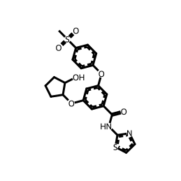 CS(=O)(=O)c1ccc(Oc2cc(OC3CCCC3O)cc(C(=O)Nc3nccs3)c2)cc1